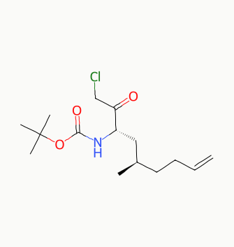 C=CCC[C@@H](C)C[C@H](NC(=O)OC(C)(C)C)C(=O)CCl